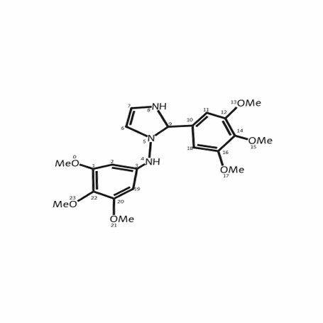 COc1cc(NN2C=CNC2c2cc(OC)c(OC)c(OC)c2)cc(OC)c1OC